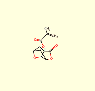 C=C(C)C(=O)OC1C2CC3(F)C(=O)OC1C3O2